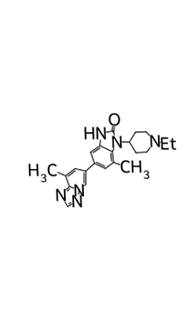 CCN1CCC(n2c(=O)[nH]c3cc(-c4cc(C)c5ncnn5c4)cc(C)c32)CC1